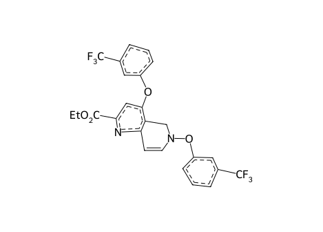 CCOC(=O)c1cc(Oc2cccc(C(F)(F)F)c2)c2c(n1)C=CN(Oc1cccc(C(F)(F)F)c1)C2